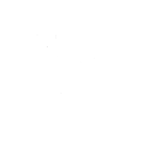 CC(C)(C)C1CC(C(F)(F)F)CC(C(F)(F)F)C1